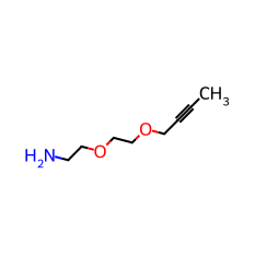 CC#CCOCCOCCN